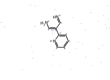 N=C/C(=C\N)c1ccccn1